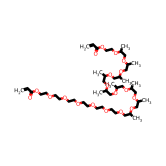 C=CC(=O)OCCOCCOCCOCCOCCOCCOCC(C)OCC(C)OCC(C)OCC(C)OCC(C)OCC(C)OCC(C)OCC(C)OCC(C)OCCOC(=O)C=C